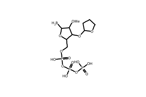 BC1OC(COP(=O)(O)OP(=O)(O)OP(=O)(O)O)C(OC2CCCO2)C1OC